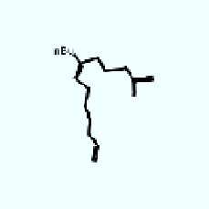 C=CCCCCC=C(CCCC)CCCC(=C)C